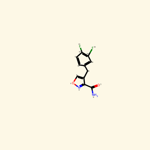 NC(=O)c1nocc1Cc1ccc(F)c(F)c1